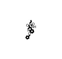 CCCn1c(=O)[nH]c2c(cnc3c(OCC4CCCC4)cccc32)c1=O